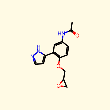 CC(=O)Nc1ccc(OCC2CO2)c(-c2ccn[nH]2)c1